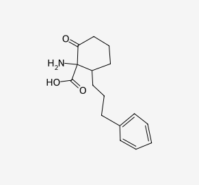 NC1(C(=O)O)C(=O)CCCC1CCCc1ccccc1